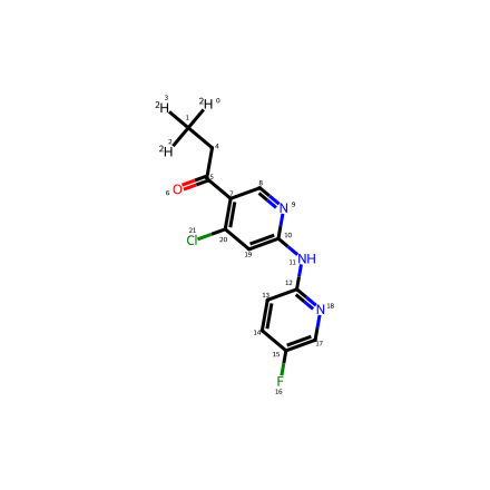 [2H]C([2H])([2H])CC(=O)c1cnc(Nc2ccc(F)cn2)cc1Cl